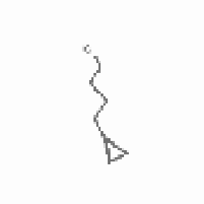 CCCCCCCC[C]1CC1